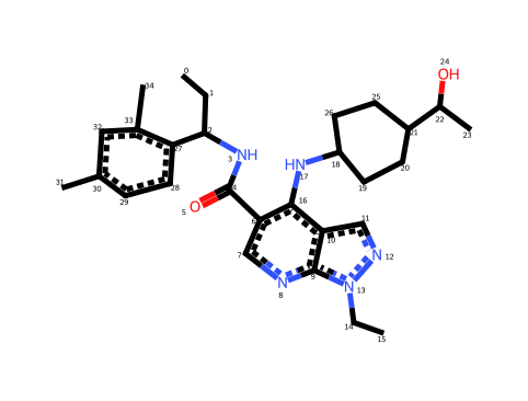 CCC(NC(=O)c1cnc2c(cnn2CC)c1NC1CCC(C(C)O)CC1)c1ccc(C)cc1C